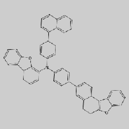 C1=CC(N(C2=CCC(c3cccc4ccccc34)C=C2)c2ccc(-c3ccc4c(c3)CCc3oc5ccccc5c3-4)cc2)=C2Oc3ccccc3C2C1